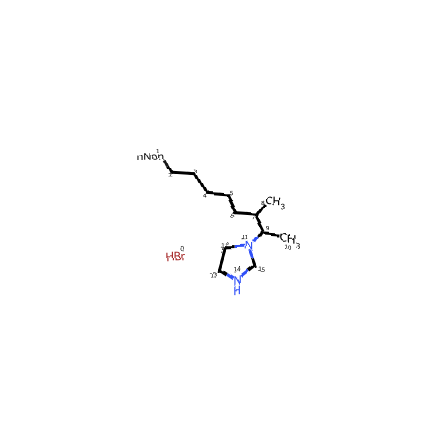 Br.CCCCCCCCCCCCCCC(C)C(C)N1CCNC1